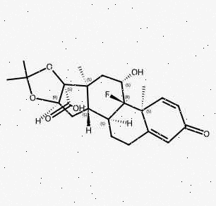 CC1(C)O[C@@H]2C[C@H]3[C@@H]4CCC5=CC(=O)C=C[C@]5(C)[C@@]4(F)[C@@H](O)C[C@]3(C)[C@]2(C(=O)O)O1